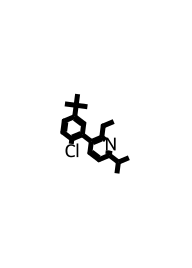 CCc1nc(C(C)C)ccc1-c1cc(C(C)(C)C)ccc1Cl